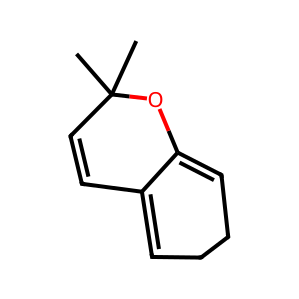 CC1(C)C=CC2=CCCC=C2O1